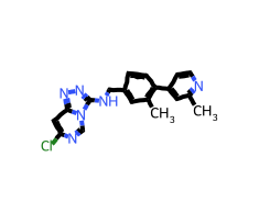 Cc1cc(-c2ccc(CNc3nnc4cc(Cl)ncn34)cc2C)ccn1